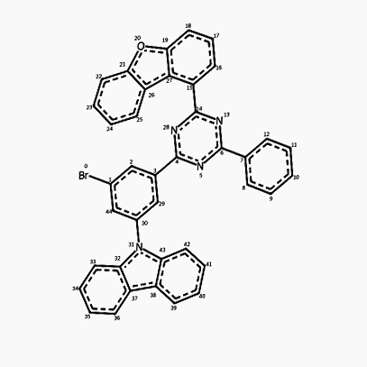 Brc1cc(-c2nc(-c3ccccc3)nc(-c3cccc4oc5ccccc5c34)n2)cc(-n2c3ccccc3c3ccccc32)c1